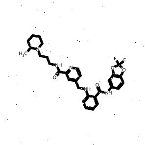 CC1CCCCN1CCCNC(=O)c1cc(CNc2ccccc2C(=O)Nc2ccc3c(c2)OC(F)(F)O3)ccn1